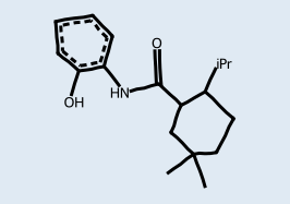 CC(C)C1CCC(C)(C)CC1C(=O)Nc1ccccc1O